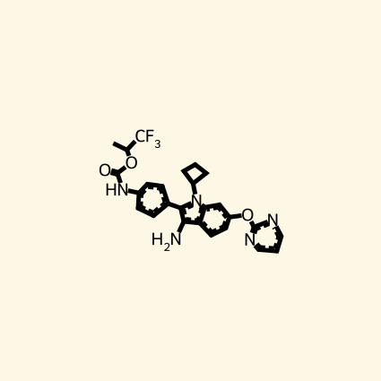 CC(OC(=O)Nc1ccc(-c2c(N)c3ccc(Oc4ncccn4)cc3n2C2CCC2)cc1)C(F)(F)F